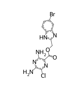 Nc1nc(N)c(C(=O)OCc2nc3cc(Br)ccc3[nH]2)nc1Cl